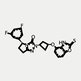 O=c1n2c(nn1[C@H]1C[C@H](Oc3cccc4oc(=S)[nH]c34)C1)CC[C@H]2c1cc(F)cc(F)c1